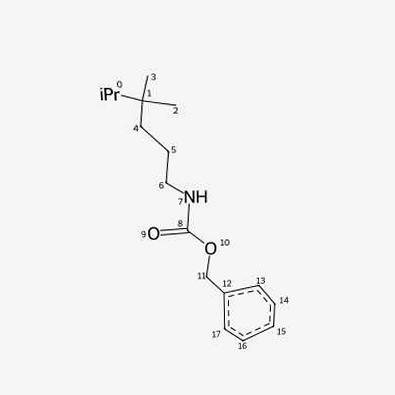 CC(C)C(C)(C)CCCNC(=O)OCc1ccccc1